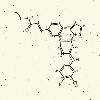 CCOC(=O)/C=C/c1cccc(-c2cnc(Nc3ccc(F)c(Cl)c3)nc2-n2cccc2)c1